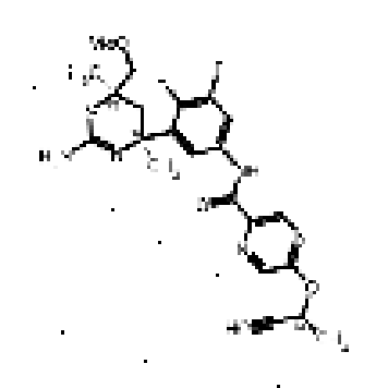 C#C[C@H](C)Oc1cnc(C(=O)Nc2cc(F)c(F)c([C@]3(C)C[C@](C)(COC)SC(N)=N3)c2)cn1